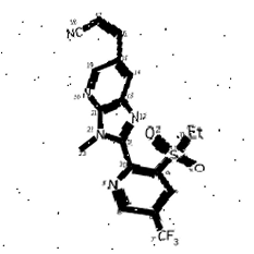 CCS(=O)(=O)c1cc(C(F)(F)F)cnc1-c1nc2cc(/C=C\C#N)cnc2n1C